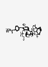 Cc1c(-c2nc(-c3c(F)cccc3Cl)nn2C)csc1-c1ccc(C(C)C)cc1